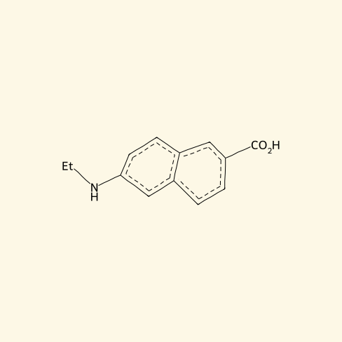 CCNc1ccc2cc(C(=O)O)ccc2c1